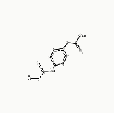 COC(=O)Cc1ccc(NC(=O)CCl)cc1